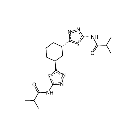 CC(C)C(=O)Nc1nnc([C@H]2CCC[C@H](c3nnc(NC(=O)C(C)C)s3)C2)s1